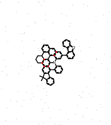 CC1(C)c2ccccc2-c2c(-c3ccccc3N(c3cccc(-c4cccc5oc6ccccc6c45)c3)c3ccccc3-c3cccc4cccc(C5CCCCC5)c34)cccc21